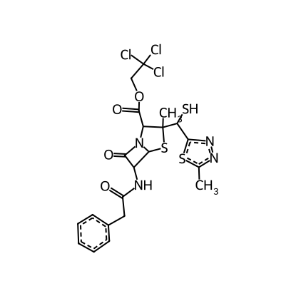 Cc1nnc(C(S)C2(C)SC3C(NC(=O)Cc4ccccc4)C(=O)N3C2C(=O)OCC(Cl)(Cl)Cl)s1